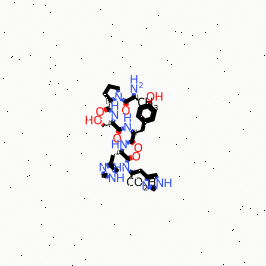 C[C@H](N)C(=O)N1CCC[C@H]1C(=O)N[C@@H](CO)C(=O)N[C@@H](Cc1ccc(O)cc1)C(=O)N[C@@H](Cc1c[nH]cn1)C(=O)N[C@@H](Cc1c[nH]cn1)C(=O)O